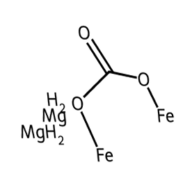 O=C([O][Fe])[O][Fe].[MgH2].[MgH2]